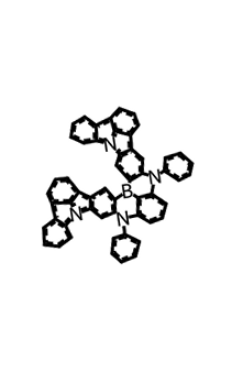 c1ccc(N2c3cc4c5cccc6c7ccccc7n(c4cc3B3c4cc7c8cccc9c%10ccccc%10n(c7cc4N(c4ccccc4)c4cccc2c43)c98)c65)cc1